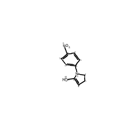 O=[N+]([O-])c1ccc(N2CCC=C2O)cc1